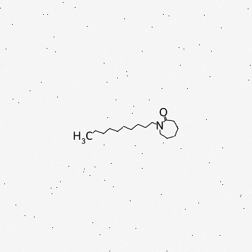 CCCCCCCCCCN1CCCCCC1=O